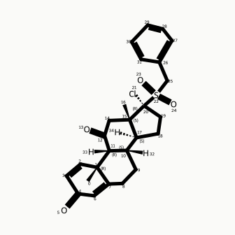 C[C@]12C=CC(=O)C=C1CC[C@@H]1[C@H]2C(=O)C[C@@]2(C)[C@H]1CC[C@]2(Cl)S(=O)(=O)Cc1ccccc1